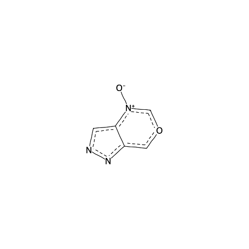 [O-][n+]1cocc2nncc1-2